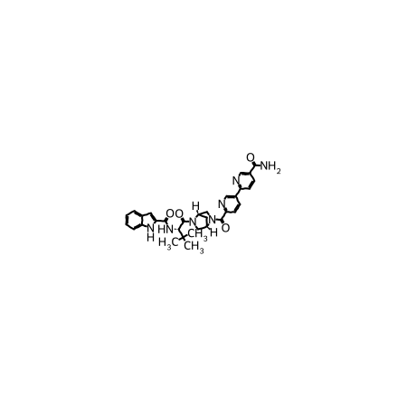 CC(C)(C)[C@H](NC(=O)c1cc2ccccc2[nH]1)C(=O)N1C[C@@H]2C[C@H]1CN2C(=O)c1ccc(-c2ccc(C(N)=O)cn2)cn1